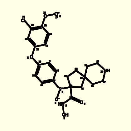 O=C(NO)C1([S+]([O-])c2ccc(Oc3ccc(OC(F)(F)F)c(Cl)c3)cc2)CCC2(CCNCC2)C1